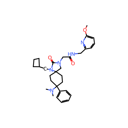 COc1cccc(CNC(=O)CN2CC3(CCC(c4ccccc4)(N(C)C)CC3)N(CC3CCC3)C2=O)n1